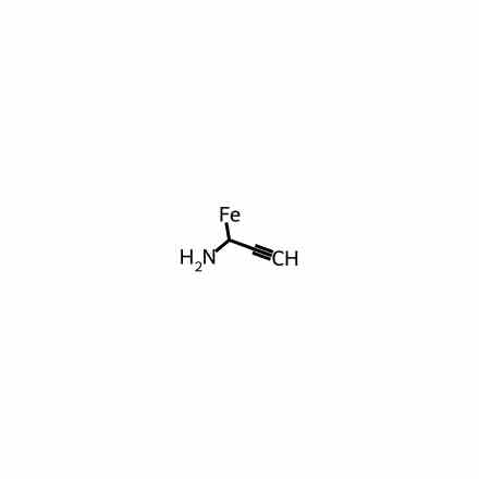 C#C[CH](N)[Fe]